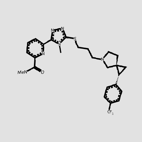 CNC(=O)c1cccc(-c2nnc(SCCCN3CC[C@]4(C[C@@H]4c4ccc(C(F)(F)F)cc4)C3)n2C)n1